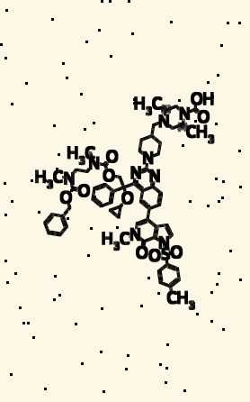 Cc1ccc(S(=O)(=O)n2ccc3c(-c4ccc5nc(N6CCC(CN7C[C@@H](C)N(C(=O)O)C[C@@H]7C)CC6)nc(C(COC(=O)N(C)CCN(C)C(=O)OCc6ccccc6)(OC6CC6)c6ccccc6)c5c4)cn(C)c(=O)c32)cc1